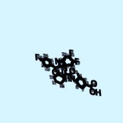 Cc1cc(C(=O)O)ccc1NC(=O)C(C1CCCCC1)n1c(C(O)c2ccc(F)cc2)nc2cc(F)c(F)cc21